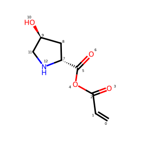 C=CC(=O)OC(=O)[C@H]1C[C@H](O)CN1